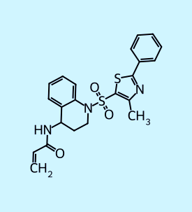 C=CC(=O)NC1CCN(S(=O)(=O)c2sc(-c3ccccc3)nc2C)c2ccccc21